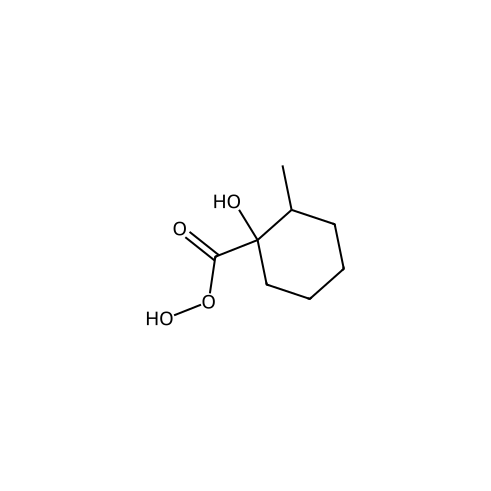 CC1CCCCC1(O)C(=O)OO